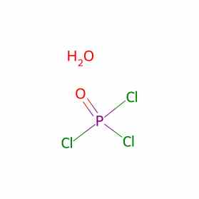 O.O=P(Cl)(Cl)Cl